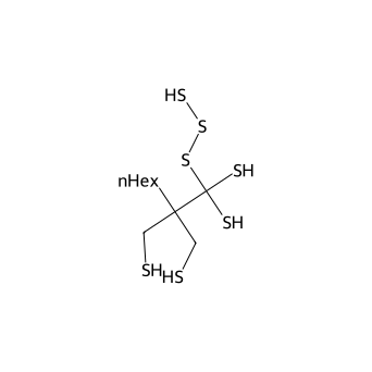 CCCCCCC(CS)(CS)C(S)(S)SSS